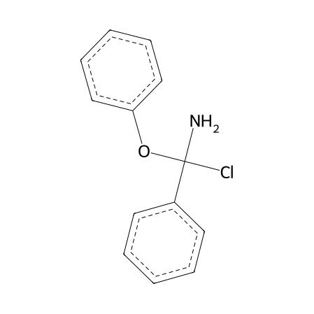 NC(Cl)(Oc1ccccc1)c1ccccc1